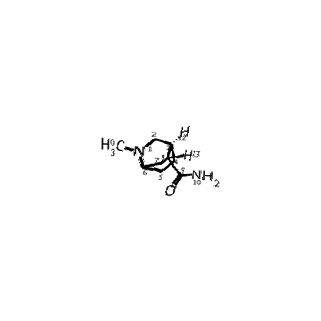 CN1C[C@H]2CCC1C[C@H]2C(N)=O